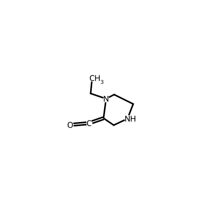 CCN1CCNCC1=C=O